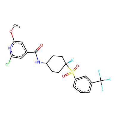 COc1cc(C(=O)N[C@H]2CC[C@@](F)(S(=O)(=O)c3cccc(C(F)(F)F)c3)CC2)cc(Cl)n1